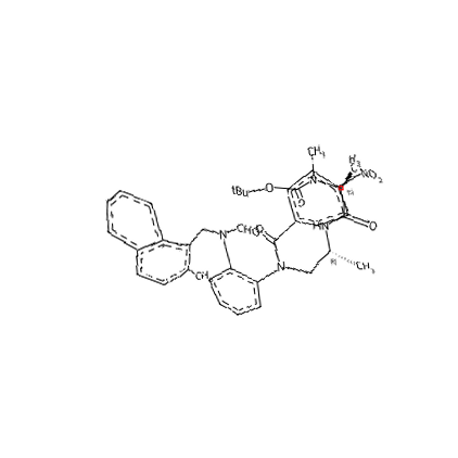 Cc1ccc2ccccc2c1CN(C=O)c1ccccc1N(C[C@@H](C)NC(=O)[C@H](C)N(C)C(=O)OC(C)(C)C)C(=O)c1ccc([N+](=O)[O-])cc1